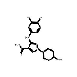 NC(=O)c1cn(C2CCC(O)CC2)nc1Nc1ccc(Cl)c(Cl)c1